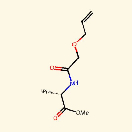 C=CCOCC(=O)N[C@H](C(=O)OC)C(C)C